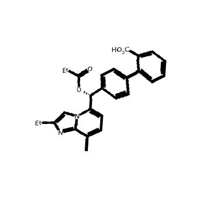 CCC(=O)O[C@H](c1ccc(-c2ccccc2C(=O)O)cc1)c1ccc(C)c2nc(CC)cn12